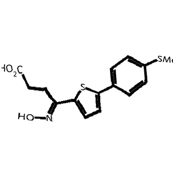 CSc1ccc(-c2ccc(C(CCC(=O)O)=NO)s2)cc1